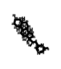 Cc1cncc(C[C@@H](C)[C@@]2(C)CC[C@H]3[C@@H]4CC[C@@H]5C[C@@H](C)CC[C@@H]5[C@H]4CC[C@@]32C)n1